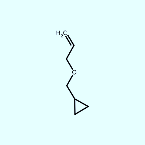 C=CCOCC1CC1